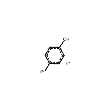 CC(C)c1ccc(O)cc1.[H+]